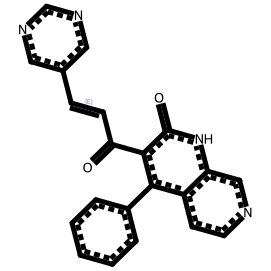 O=C(/C=C/c1cncnc1)c1c(-c2ccccc2)c2ccncc2[nH]c1=O